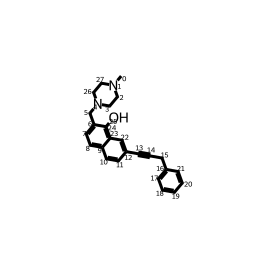 CN1CCN(Cc2ccc3ccc(C#CCc4ccccc4)cc3c2O)CC1